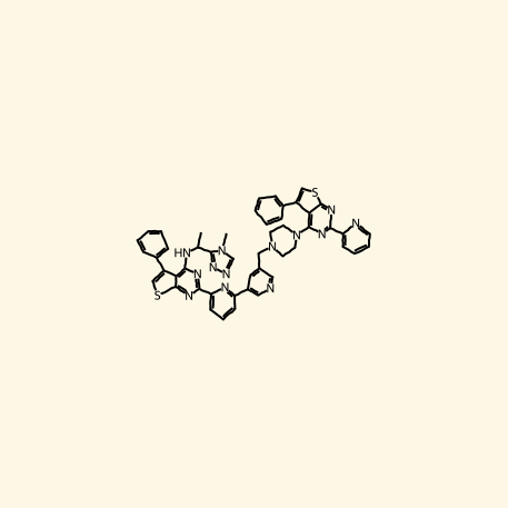 CC(Nc1nc(-c2cccc(-c3cncc(CN4CCN(c5nc(-c6ccccn6)nc6scc(-c7ccccc7)c56)CC4)c3)n2)nc2scc(-c3ccccc3)c12)c1nncn1C